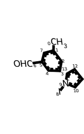 Cc1cccc(C=O)c1.In1cccc1